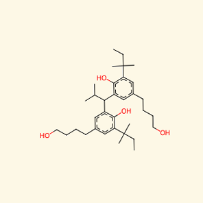 CCC(C)(C)c1cc(CCCCO)cc(C(c2cc(CCCCO)cc(C(C)(C)CC)c2O)C(C)C)c1O